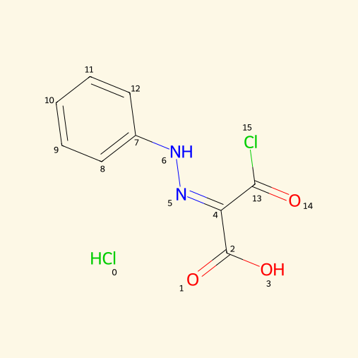 Cl.O=C(O)C(=NNc1ccccc1)C(=O)Cl